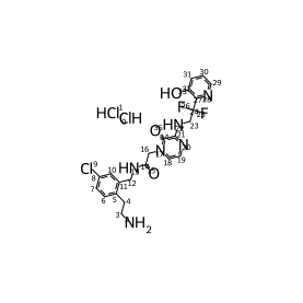 Cl.Cl.NCCc1ccc(Cl)cc1CNC(=O)Cn1ccnc(NCC(F)(F)c2ncccc2O)c1=O